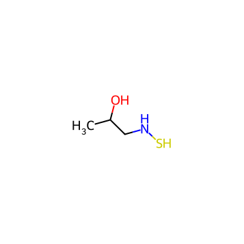 CC(O)CNS